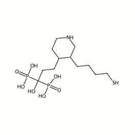 O=P(O)(O)C(O)(CCC1CCNCC1CCCCS)P(=O)(O)O